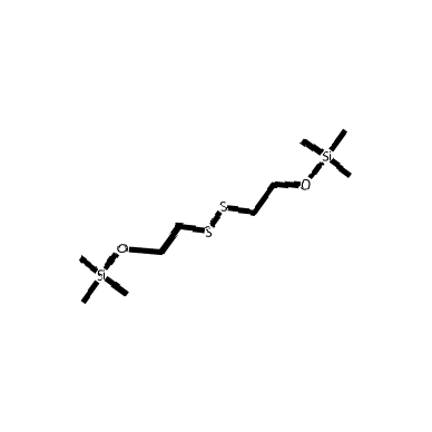 C[Si](C)(C)OCCSSCCO[Si](C)(C)C